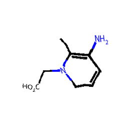 CC1=C(N)C=CCN1CC(=O)O